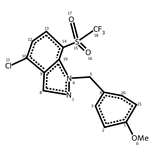 COc1ccc(Cn2ncc3c(Cl)ccc(S(=O)(=O)C(F)(F)F)c32)cc1